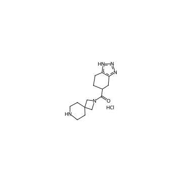 Cl.O=C(C1CCc2[nH]nnc2C1)N1CC2(CCNCC2)C1